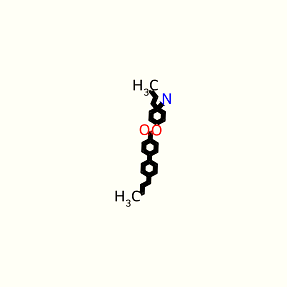 CCCCC1CCC(C2CCC(C(=O)OC3CCC(C#N)(CCCC)CC3)CC2)CC1